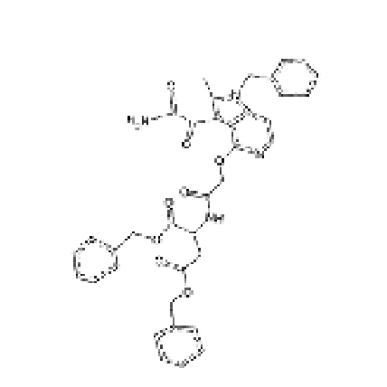 Cc1c(C(=O)C(N)=O)c2c(OCC(=O)NC(CC(=O)OCc3ccccc3)C(=O)OCc3ccccc3)nccc2n1Cc1ccccc1